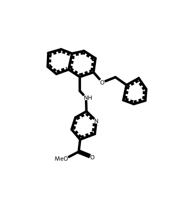 COC(=O)c1ccc(NCc2c(OCc3ccccc3)ccc3ccccc23)nc1